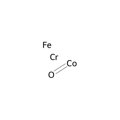 [Cr].[Fe].[O]=[Co]